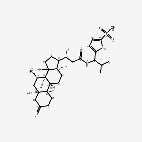 CC(C)C(NC(=O)C[C@@H](C)C1CC[C@H]2[C@@H]3[C@H](O)C[C@@H]4CC(=O)CC[C@]4(C)[C@H]3CC[C@]12C)c1ccc(S(=O)(=O)O)s1